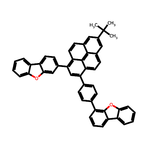 CC(C)(C)c1cc2ccc3c(-c4ccc(-c5cccc6c5oc5ccccc56)cc4)cc(-c4ccc5c(c4)oc4ccccc45)c4ccc(c1)c2c34